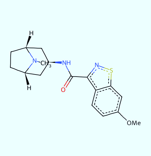 COc1ccc2c(C(=O)N[C@@H]3C[C@H]4CC[C@@H](C3)N4C)nsc2c1